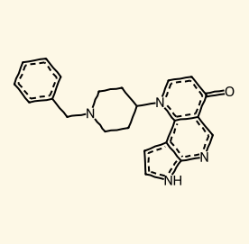 O=c1ccn(C2CCN(Cc3ccccc3)CC2)c2c1cnc1[nH]ccc12